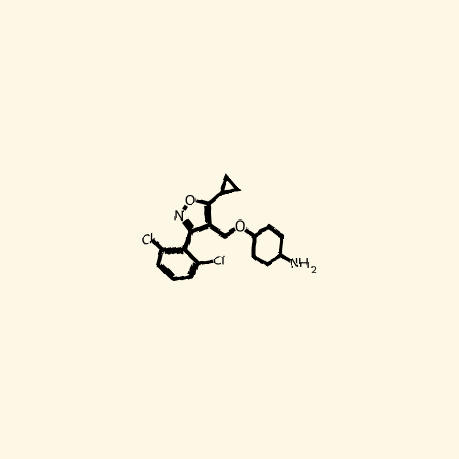 NC1CCC(OCc2c(-c3c(Cl)cccc3Cl)noc2C2CC2)CC1